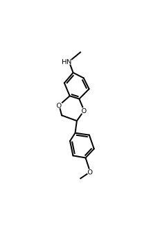 CNc1ccc2c(c1)OCC(c1ccc(OC)cc1)O2